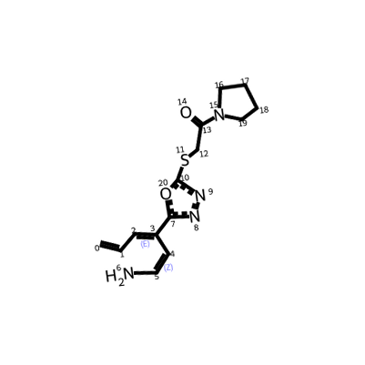 C=C/C=C(\C=C/N)c1nnc(SCC(=O)N2CCCC2)o1